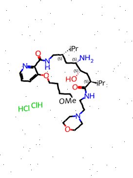 COCCCCOc1cccnc1C(=O)NC[C@@H](C[C@H](N)[C@@H](O)C[C@H](C(=O)NCCN1CCOCC1)C(C)C)C(C)C.Cl.Cl